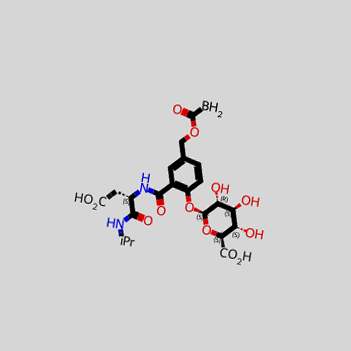 BC(=O)OCc1ccc(O[C@@H]2O[C@H](C(=O)O)[C@@H](O)[C@H](O)[C@H]2O)c(C(=O)N[C@@H](CC(=O)O)C(=O)NC(C)C)c1